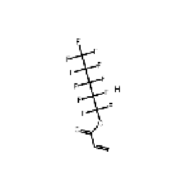 C=CC(=O)OC(F)(F)C(F)(F)C(F)(F)C(F)(F)C(F)(F)F.[H+]